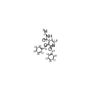 [3H]CNC(=O)c1cc(C)nc(OCc2ccccc2)c1OCc1ccccc1